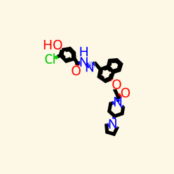 O=C(N/N=C/c1ccc(OCC(=O)N2CCC(N3CCCC3)CC2)c2ccccc12)c1ccc(O)c(Cl)c1